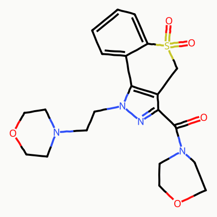 O=C(c1nn(CCN2CCOCC2)c2c1CS(=O)(=O)c1ccccc1-2)N1CCOCC1